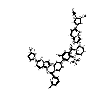 Cc1cccc(C(=O)N2CCC(c3cc(NS(C)(=O)=O)c(C(=O)N4CCCC[C@H]4c4cn5nc(N6C[C@@H](C#N)[C@@H](O)C6)ccc5n4)cc3Cl)C[C@H]2c2cn3nc(N4CC[C@H](N)C4)ccc3n2)n1